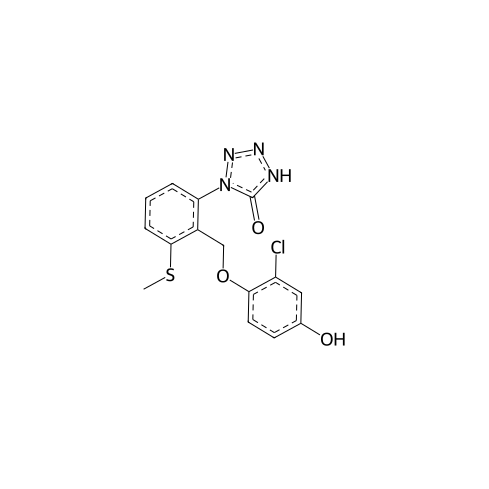 CSc1cccc(-n2nn[nH]c2=O)c1COc1ccc(O)cc1Cl